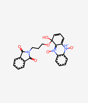 O=C1c2ccccc2C(=O)N1CCCOC1(O)C=CC=C2C1=[N+]([O-])c1ccccc1[NH+]2[O-]